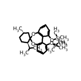 CC(C)[C@H]1CC[C@H](C)CC12Oc1cccc(O[Si](C)(C)C)c1-c1c(cccc1O[Si](C)(C)C)O2